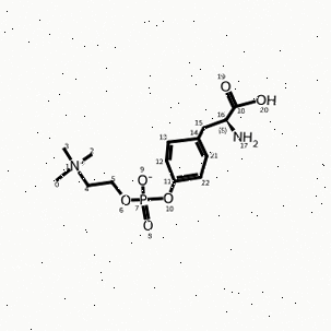 C[N+](C)(C)CCOP(=O)([O-])Oc1ccc(C[C@H](N)C(=O)O)cc1